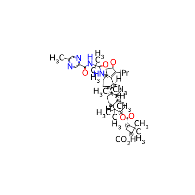 Cc1cnc(C(=O)NC(C)(C)C(=O)N[C@@]23CC[C@]4(C)[C@H](CC[C@@H]5[C@@]6(C)CC[C@H](OC(=O)[C@H]7C[C@@H](C(=O)O)C7(C)C)C(C)(C)[C@@H]6CC[C@]54C)C2=C(C(C)C)C(=O)C3)cn1